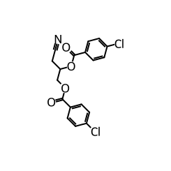 N#CCC(COC(=O)c1ccc(Cl)cc1)OC(=O)c1ccc(Cl)cc1